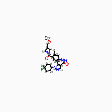 CCOCC1CN(C(=O)c2cc3c(cc2C)[nH]c(=O)c2cnn(C4CCC(F)(F)CC4)c23)C1